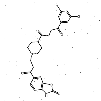 O=C(CCC(=O)N1CCN(CCC(=O)c2ccc3[nH]c(=O)oc3c2)CC1)c1cc(Cl)cc(Cl)c1